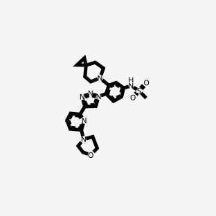 CS(=O)(=O)Nc1ccc(-n2cc(-c3cccc(N4CCOCC4)n3)nn2)c(N2CCC3(CC2)CC3)c1